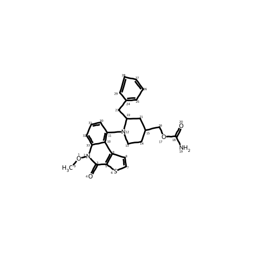 COn1c(=O)c2sccc2c2c(N3CCC(COC(N)=O)CC3Cc3ccccc3)cccc21